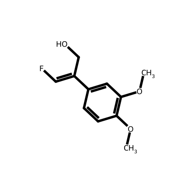 COc1ccc(C(=CF)CO)cc1OC